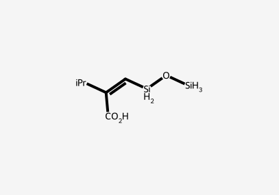 CC(C)C(=C[SiH2]O[SiH3])C(=O)O